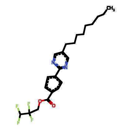 CCCCCCCCCc1cnc(-c2ccc(C(=O)OCC(F)(F)C(F)F)cc2)nc1